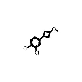 COC1C[C](c2ccc(Cl)c(Cl)c2)C1